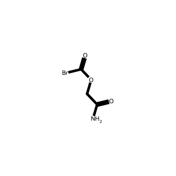 NC(=O)COC(=O)Br